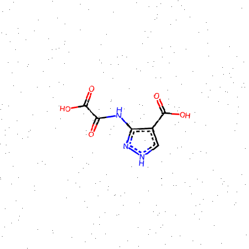 O=C(O)C(=O)Nc1n[nH]cc1C(=O)O